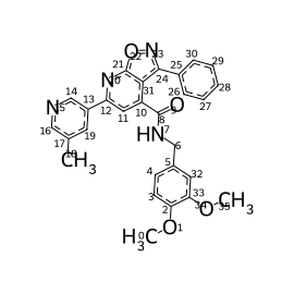 COc1ccc(CNC(=O)c2cc(-c3cncc(C)c3)nc3onc(-c4ccccc4)c23)cc1OC